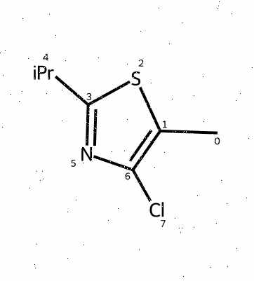 Cc1sc(C(C)C)nc1Cl